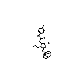 CCCN1C(=NC23CC4CC(CC(C4)C2)C3)SCC1CC(=O)Nc1ccc(C)cc1.Cl